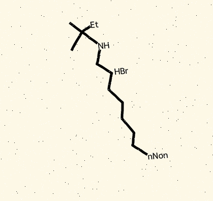 Br.CCCCCCCCCCCCCCCCNC(C)(C)CC